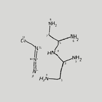 NCC(N)NC(N)CN.[N-]=[N+]=[N][Co]